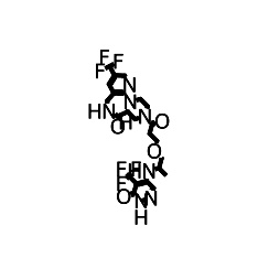 CC(COCCC(=O)N1CCN2c3ncc(C(F)(F)F)cc3CNC(=O)[C@H]2C1)Nc1cn[nH]c(=O)c1C(F)(F)F